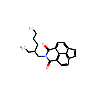 CCCCC(CC)CN1C(=O)c2ccc3c4c(ccc(c24)C1=O)C=C3